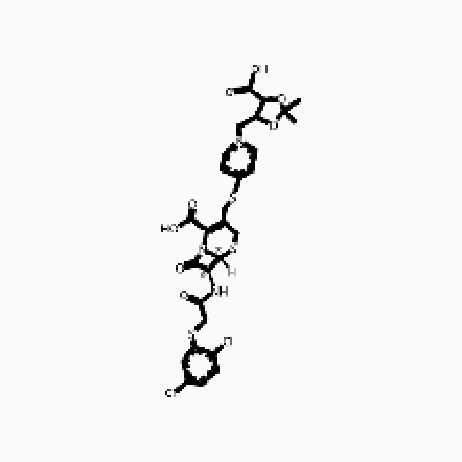 CC1(C)OC(C[n+]2ccc(SCC3=C(C(=O)O)N4C(=O)[C@H](NC(=O)CSc5cc(Cl)ccc5Cl)[C@H]4SC3)cc2)C(C(=O)O)O1